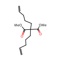 C=CCCCC(CCCC=C)(C(=O)OC)C(=O)OC